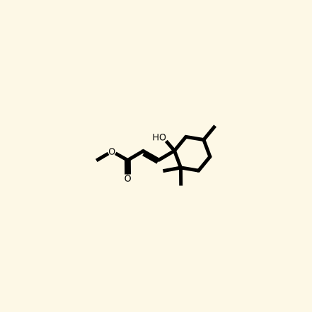 COC(=O)C=CC1(O)CC(C)CCC1(C)C